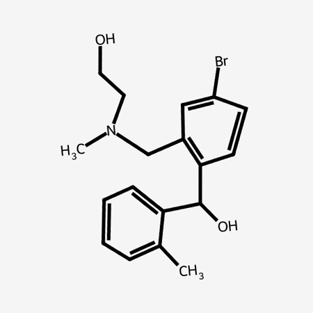 Cc1ccccc1C(O)c1ccc(Br)cc1CN(C)CCO